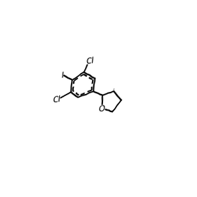 Clc1cc(C2[CH]CCO2)cc(Cl)c1I